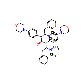 CN(C)C(Cc1ccccc1)C(C(=O)C(c1ccc(N2CCOCC2)cc1)C(Cc1ccccc1)N(C)C)c1ccc(N2CCOCC2)cc1